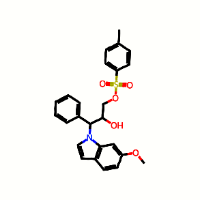 COc1ccc2ccn(C(c3ccccc3)C(O)COS(=O)(=O)c3ccc(C)cc3)c2c1